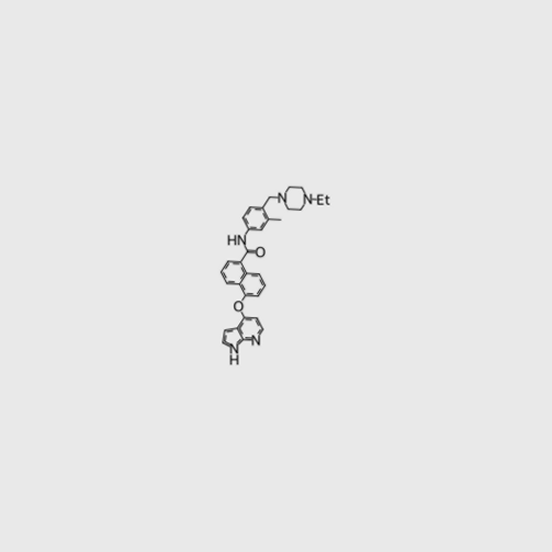 CCN1CCN(Cc2ccc(NC(=O)c3cccc4c(Oc5ccnc6[nH]ccc56)cccc34)cc2C)CC1